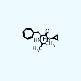 CC(C)N[C@@H](CC1C=CC=CC=C1)C(=O)NC1CC1